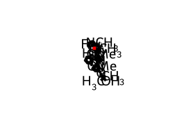 COc1cccc(OC)c1-n1c(NS(=O)(=O)[C@@H](C)[C@H](C)c2cnc(F)cn2)nnc1-c1cccc(OCC(C)(C)O)n1